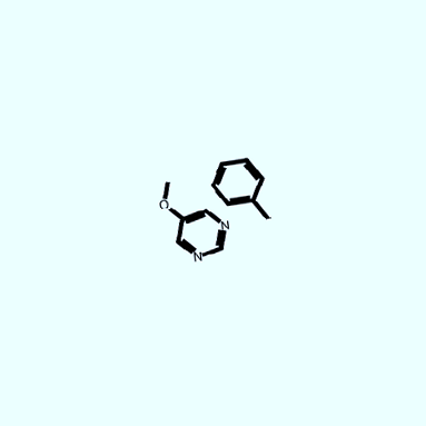 COc1cncnc1.Cc1ccccc1